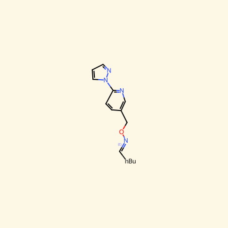 CCCC/C=N/OCc1ccc(-n2cccn2)nc1